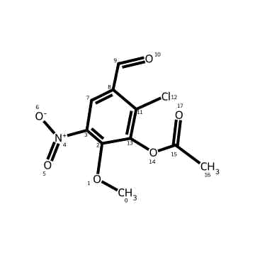 COc1c([N+](=O)[O-])cc(C=O)c(Cl)c1OC(C)=O